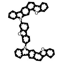 c1ccc2c(c1)oc1c3cc4c(cc3ccc21)c1ccccc1n4-c1ccc2c(c1)oc1cc(-n3c4ccccc4c4cc5ccc6c7ccccc7oc6c5cc43)ccc12